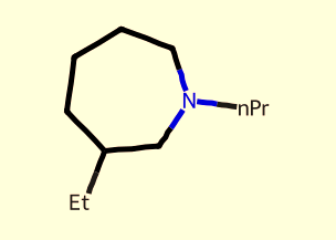 CCCN1CCCCC(CC)C1